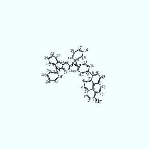 Brc1ccc2ccc3c(-c4ccc(N(c5ccccc5)c5ccc6c(c5)c5ccccc5n6-c5ccccc5)cc4)ccc4ccc1c2c43